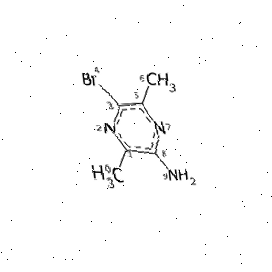 Cc1nc(Br)c(C)nc1N